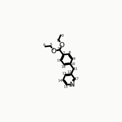 CCOC(OCC)c1ccc(Cc2cccnc2)cc1